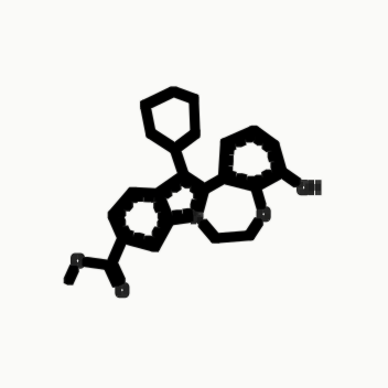 COC(=O)c1ccc2c(C3CCCCC3)c3n(c2c1)CCOc1c(O)cccc1-3